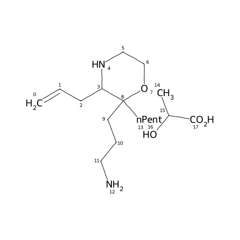 C=CCC1NCCOC1(CCCN)CCCCC.CC(O)C(=O)O